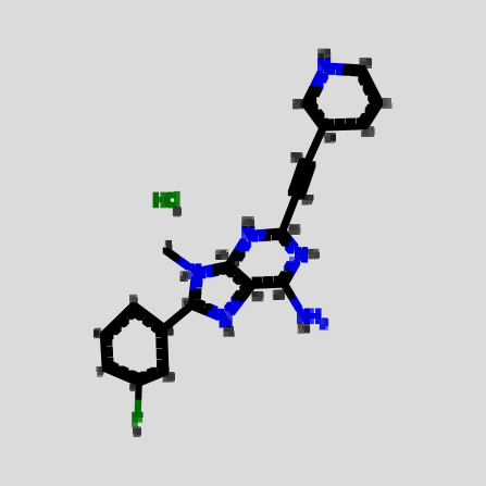 Cl.Cn1c(-c2cccc(F)c2)nc2c(N)nc(C#Cc3cccnc3)nc21